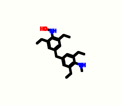 CCc1cc(Cc2cc(CC)c(NO)c(CC)c2)cc(CC)c1NC